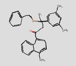 Cc1cc(C)cc(C(C)(CC(=O)c2ccc(C)c3ccccc23)SCc2ccccc2)c1